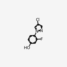 Oc1ccc(-n2cc(Cl)cn2)c(F)c1